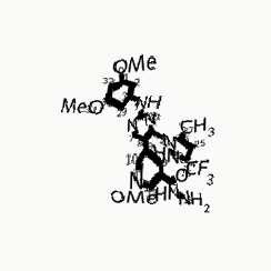 COc1cc(Nc2ncc(-c3cnc(OC)c(C(=O)NN)c3)c(N3NC(C(F)(F)F)C=C3C)n2)cc(OC)c1